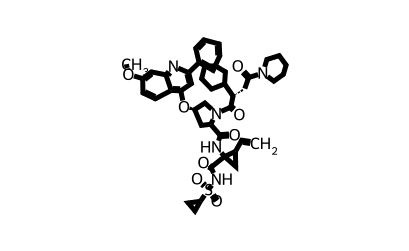 C=CC1CC1(NC(=O)C1C[C@@H](Oc2cc(-c3ccccc3)nc3cc(OC)ccc23)CN1C(=O)[C@@H](CC(=O)N1CCCCC1)C1CCCCC1)C(=O)NS(=O)(=O)C1CC1